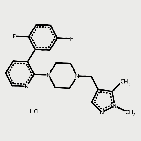 Cc1c(CN2CCN(c3ncccc3-c3cc(F)ccc3F)CC2)cnn1C.Cl